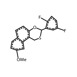 COc1ccc2ccc3c(c2c1)CSC(c1cc(F)ccc1F)O3